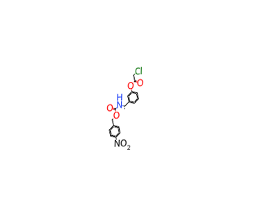 O=C(CCl)Oc1cccc([CH]NC(=O)OCc2ccc([N+](=O)[O-])cc2)c1